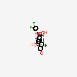 C[C@]12C=CC(=O)C=C1[C@@H](F)C[C@H]1[C@@H]3C[C@H]4O[C@@H](c5ccc(F)c(F)c5)O[C@@]4(C(=O)CO)[C@@]3(C)C[C@H](O)[C@@]12F